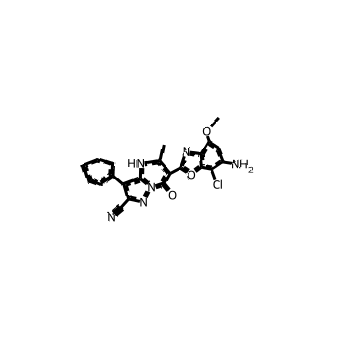 COc1cc(N)c(Cl)c2oc(-c3c(C)[nH]c4c(-c5ccccc5)c(C#N)nn4c3=O)nc12